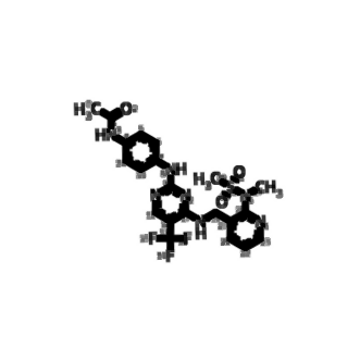 CC(=O)Nc1ccc(Nc2ncc(C(F)(F)F)c(NCc3cccnc3N(C)S(C)(=O)=O)n2)cc1